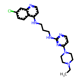 CCN1CCN(c2ccnc(NCCCNc3ccnc4cc(Cl)ccc34)n2)CC1